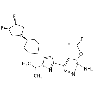 CC(C)n1nc(-c2cnc(N)c(OC(F)F)c2)cc1[C@H]1CC[C@H](N2C[C@@H](F)[C@@H](F)C2)CC1